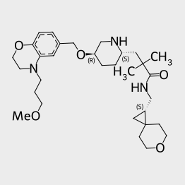 COCCCN1CCOc2ccc(CO[C@@H]3CC[C@@H](CC(C)(C)C(=O)NC[C@H]4CC45CCOCC5)NC3)cc21